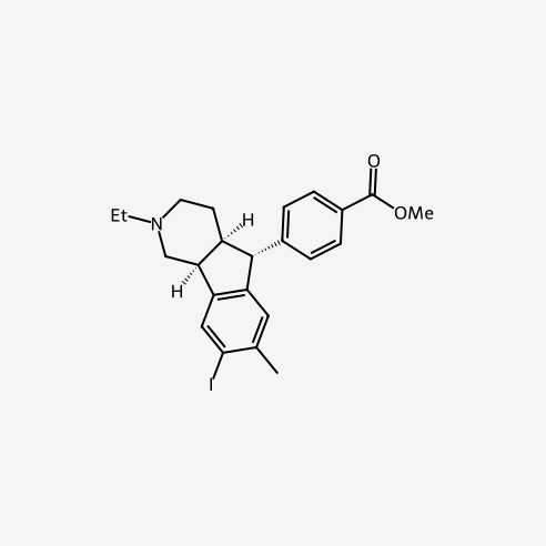 CCN1CC[C@H]2[C@H](c3ccc(C(=O)OC)cc3)c3cc(C)c(I)cc3[C@H]2C1